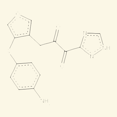 Nc1ccc(Sc2cocc2CC(=O)C(=O)c2nc[nH]n2)cc1